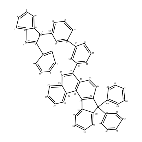 c1ccc(-c2nc3ccccc3n2-c2cccc(-c3cccc(-c4nc5ccccc5c5c6c(ccc45)C(c4ccccc4)(c4ccccc4)c4ccccc4-6)c3)c2)cc1